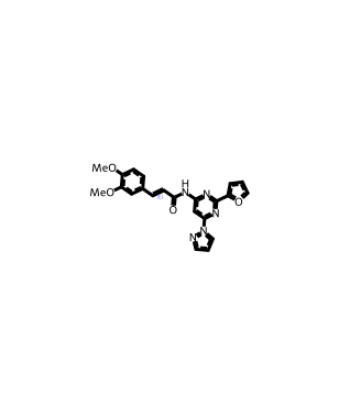 COc1ccc(/C=C/C(=O)Nc2cc(-n3cccn3)nc(-c3ccco3)n2)cc1OC